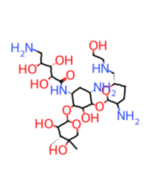 C[C@@H]1C(O)[C@@H](OC2C(O)C(O[C@H]3O[C@H](CNCCO)CCC3N)[C@@H](N)C[C@H]2NC(=O)[C@@H](O)[C@@H](O)[C@@H](O)CN)OCC1(C)O